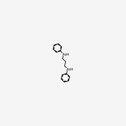 c1ccc([AsH]CCC[AsH]c2ccccc2)cc1